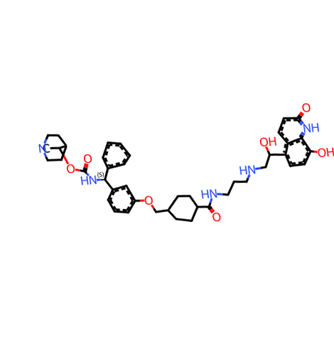 O=C(N[C@@H](c1ccccc1)c1cccc(OCC2CCC(C(=O)NCCCNCC(O)c3ccc(O)c4[nH]c(=O)ccc34)CC2)c1)OC1CN2CCC1CC2